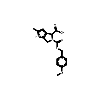 COc1ccc(COC(=O)N2Cc3[nH]c(C)cc3C2C(=O)O)cc1